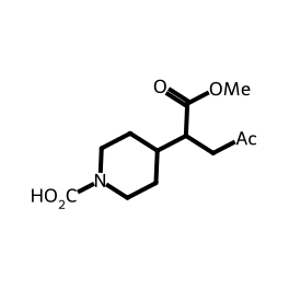 COC(=O)C(CC(C)=O)C1CCN(C(=O)O)CC1